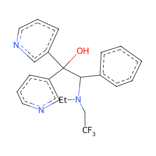 CCN(CC(F)(F)F)C(c1ccccc1)C(O)(c1cccnc1)c1cccnc1